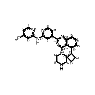 Fc1ccnc(Nc2cc(-c3nc(N4CCNCC4)c4c(C5CCC5)cncc4n3)ccn2)c1